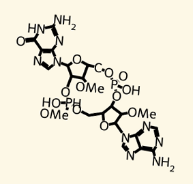 COC1C2COP(=O)(O)OC3C(CO[PH](O)(OC)OC1C(n1cnc4c(=O)[nH]c(N)nc41)O2)OC(n1cnc2c(N)ncnc21)C3OC